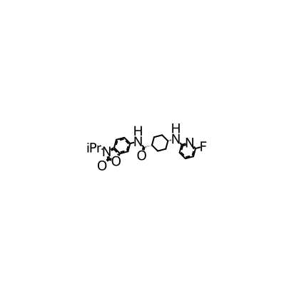 CC(C)n1c(=O)oc2cc(NC(=O)[C@H]3CC[C@@H](Nc4cccc(F)n4)CC3)ccc21